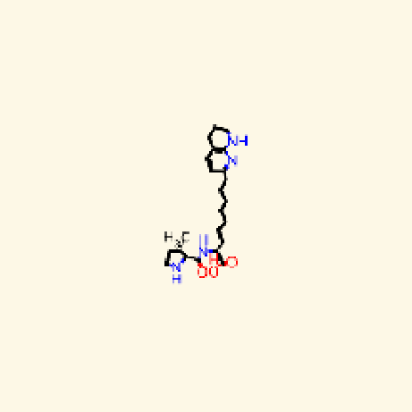 C[C@H]1CCN[C@@H]1C(=O)N[C@@H](CCCCCCCc1ccc2c(n1)NCCC2)C(=O)O